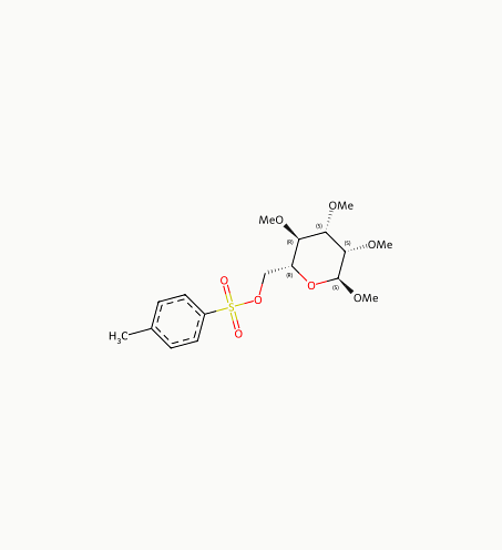 CO[C@H]1O[C@H](COS(=O)(=O)c2ccc(C)cc2)[C@@H](OC)[C@H](OC)[C@@H]1OC